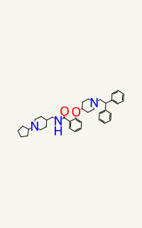 O=C(NCC1CCN(C2CCCC2)CC1)c1ccccc1OC1CCN(CC(c2ccccc2)c2ccccc2)CC1